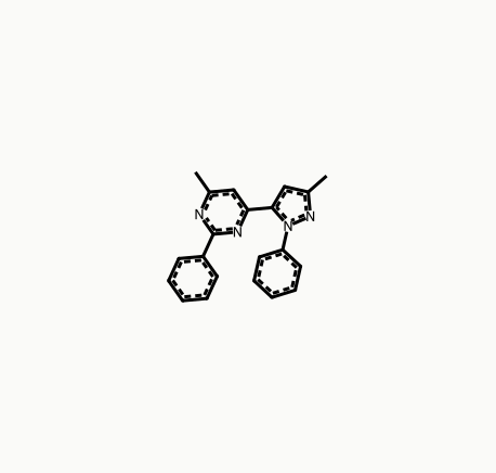 Cc1cc(-c2cc(C)nn2-c2ccccc2)nc(-c2ccccc2)n1